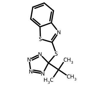 CC(C)(C)C1(Sc2nc3ccccc3s2)N=NN=N1